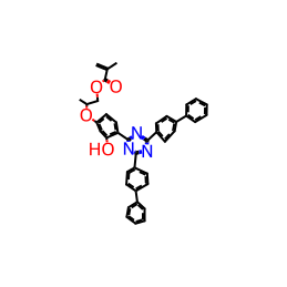 C=C(C)C(=O)OCC(C)Oc1ccc(-c2nc(-c3ccc(-c4ccccc4)cc3)nc(-c3ccc(-c4ccccc4)cc3)n2)c(O)c1